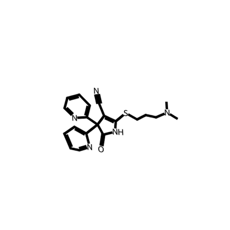 CN(C)CCCSC1=C(C#N)C(c2ccccn2)(c2ccccn2)C(=O)N1